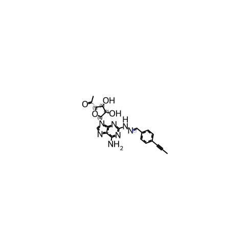 CC#Cc1ccc(/C=N/Nc2nc(N)c3ncn([C@@H]4O[C@H](C(C)=O)[C@@H](O)[C@H]4O)c3n2)cc1